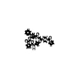 O=C(NCC(=O)N1CCN(C(=O)N2CCCC2)CC1)c1cc(OCC(=O)N2CCC[C@H]2C(=O)NC2CCC2)n(-c2ccccc2)n1